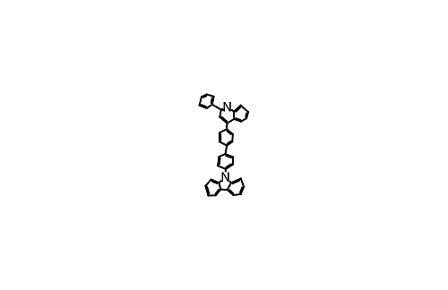 c1ccc(-c2cc(-c3ccc(-c4ccc(-n5c6ccccc6c6ccccc65)cc4)cc3)c3ccccc3n2)cc1